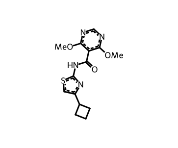 COc1ncnc(OC)c1C(=O)Nc1nc(C2CCC2)cs1